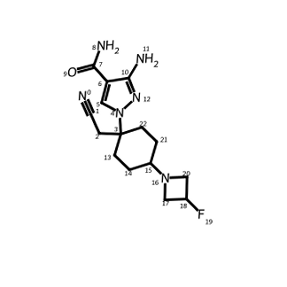 N#CCC1(n2cc(C(N)=O)c(N)n2)CCC(N2CC(F)C2)CC1